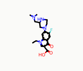 CCn1cc(C(=O)O)c(=O)c2cc(F)c(N3CCNC(CN(C)C)C3)cc21